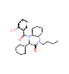 CCCCNC(=O)C(C1CCCCC1)N(C(=O)c1ccccc1O)C1CCCCC1